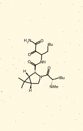 CCC(C)CC(NC(=O)[C@@H]1[C@@H]2[C@H](CN1C(=O)[C@@H](NC)C(C)(C)C)C2(C)C)C(=O)C(N)=O